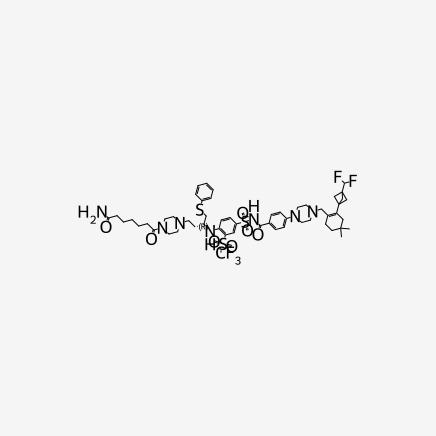 CC1(C)CCC(CN2CCN(c3ccc(C(=O)NS(=O)(=O)c4ccc(N[C@H](CCN5CCN(C(=O)CCCCCC(N)=O)CC5)CSc5ccccc5)c(S(=O)(=O)C(F)(F)F)c4)cc3)CC2)=C(C23CC(C(F)F)(C2)C3)C1